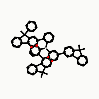 CC1(C)c2ccccc2-c2cc(-c3cccc(N(c4ccc#cc4-c4cccc5c4-c4ccccc4C5(C)C)c4ccccc4-c4ccc5c(c4)C(C)(c4ccccc4)c4ccccc4-5)c3)ccc21